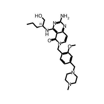 CCC[C@@H](CO)Nc1nc(N)nc2ccn(Cc3ccc(CN4CCN(C)CC4)cc3OC)c(=O)c12